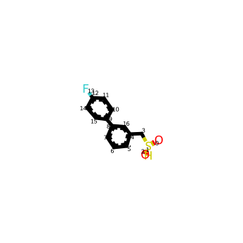 O=[SH](=O)Cc1[c]ccc(-c2ccc(F)cc2)c1